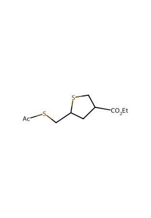 CCOC(=O)C1CSC(CSC(C)=O)C1